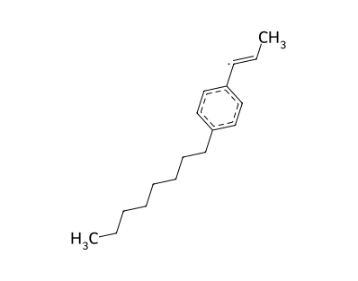 C/C=[C]/c1ccc(CCCCCCCC)cc1